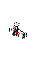 O[C@@H]1CC[C@H]2CC[C@@H]1N2c1nc(OC[C@@]23CCCN2C[C@H](F)C3)nc2c(F)c(Cl)ncc12